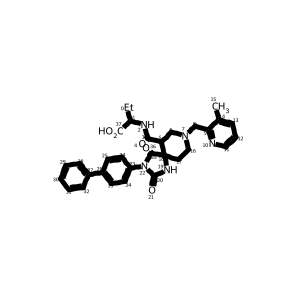 CCC(NC(=O)C1CN(Cc2ncccc2C)CCC12NC(=O)N(c1ccc(-c3ccccc3)cc1)C2=O)C(=O)O